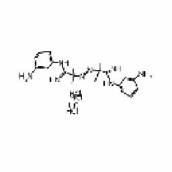 CC(C)(N=NC(C)(C)C(=N)Nc1cccc(N)c1)C(=N)Nc1cccc(N)c1.Cl.Cl.Cl.Cl